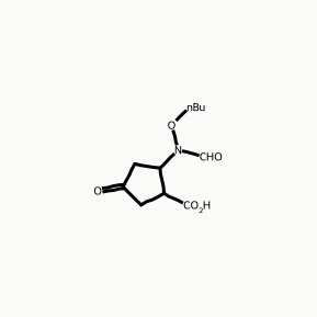 CCCCON(C=O)C1CC(=O)CC1C(=O)O